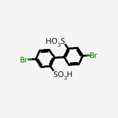 O=S(=O)(O)c1cc(Br)ccc1-c1ccc(Br)cc1S(=O)(=O)O